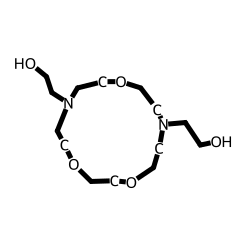 OCCN1CCOCCOCCN(CCO)CCOCC1